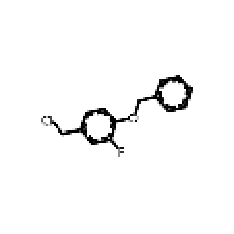 Fc1cc(CCl)ccc1OCc1ccccc1